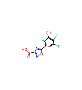 O=C(O)c1noc(-c2cc(F)c(F)c(O)c2F)n1